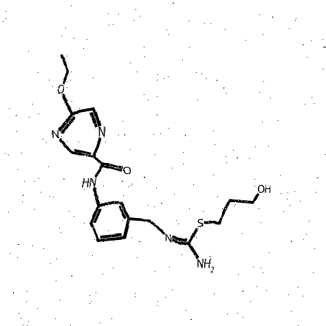 CCOc1cnc(C(=O)Nc2cccc(C/N=C(/N)SCCCO)c2)cn1